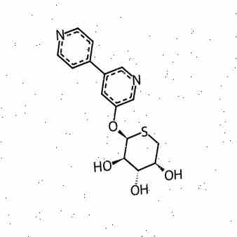 O[C@@H]1[C@@H](O)[C@@H](Oc2cncc(-c3ccncc3)c2)SC[C@H]1O